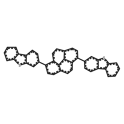 c1ccc2c(c1)sc1cc(-c3ccc4ccc5c(-c6ccc7c(c6)sc6ccccc67)ccc6ccc3c4c65)ccc12